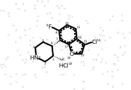 C[C@@H]1CNCC[C@@H]1c1c(F)ccc2c(Cl)coc12.Cl